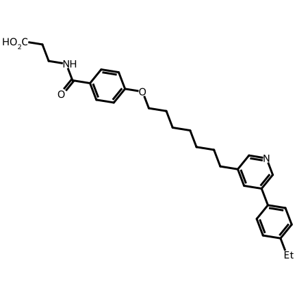 CCc1ccc(-c2cncc(CCCCCCCOc3ccc(C(=O)NCCC(=O)O)cc3)c2)cc1